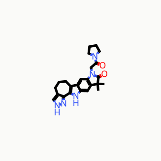 CC1(C)C(=O)N(CC(=O)N2CCCC2)c2cc3c4c([nH]c3cc21)-c1n[nH]cc1CCC4